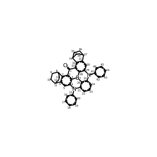 O=C1c2c3c(cc4c2C2CCC4CC2)N(c2ccccc2)c2cccc4c2B3c2c(cc3c(c21)C1CCC3CC1)N4c1ccccc1